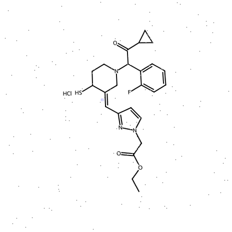 CCOC(=O)Cn1ccc(/C=C2\CN(C(C(=O)C3CC3)c3ccccc3F)CCC2S)n1.Cl